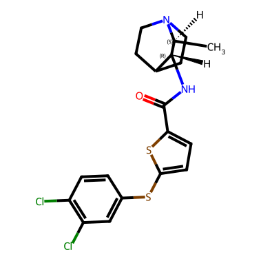 C[C@H]1[C@H](NC(=O)c2ccc(Sc3ccc(Cl)c(Cl)c3)s2)C2CCN1CC2